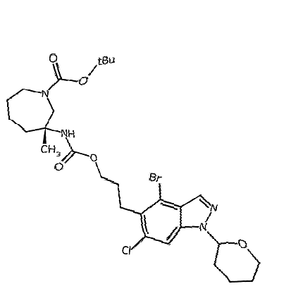 CC(C)(C)OC(=O)N1CCCC[C@@](C)(NC(=O)OCCCc2c(Cl)cc3c(cnn3C3CCCCO3)c2Br)C1